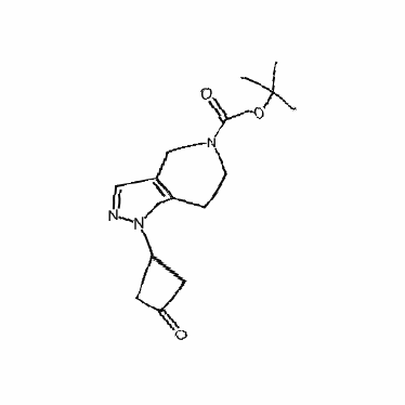 CC(C)(C)OC(=O)N1CCc2c(cnn2C2CC(=O)C2)C1